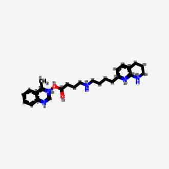 Cc1c2ccccc2nc[n+]1OC(=O)CCCNCCCCc1ccc2c(n1)NCCC2